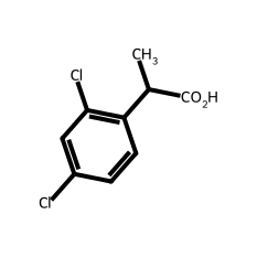 CC(C(=O)O)c1ccc(Cl)cc1Cl